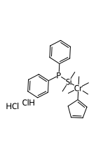 C[Si](C)(P(c1ccccc1)c1ccccc1)[Cr]([CH3])([CH3])([CH3])([CH3])[C]1=CC=CC1.Cl.Cl